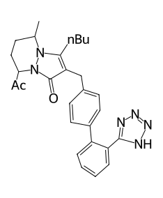 CCCCc1c(Cc2ccc(-c3ccccc3-c3nnn[nH]3)cc2)c(=O)n2n1C(C)CCC2C(C)=O